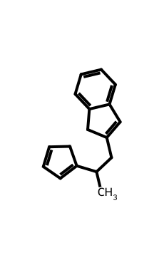 CC(CC1=Cc2ccccc2C1)C1=CC=CC1